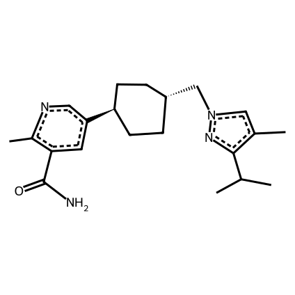 Cc1cn(C[C@H]2CC[C@H](c3cnc(C)c(C(N)=O)c3)CC2)nc1C(C)C